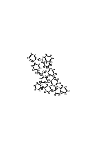 Cc1cccnc1-c1ccc(NC(=O)c2cc(-c3ccccc3-c3ccc(-c4ccc5ccccc5n4)cc3)cc(-c3ccccc3-c3ccc(-c4ccc5ccccc5n4)cc3)c2)cc1